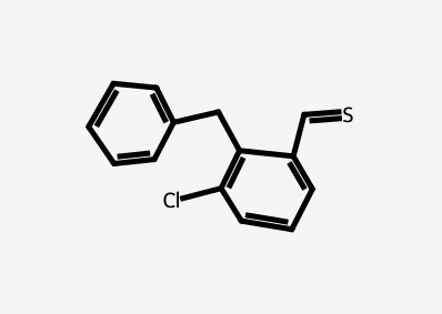 S=Cc1cccc(Cl)c1Cc1ccccc1